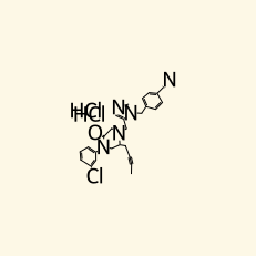 CC#CCC1CN(c2cccc(Cl)c2)C(=O)CN1Cc1cncn1Cc1ccc(C#N)cc1.Cl.Cl